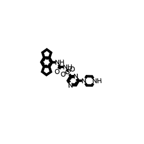 O=C(Nc1c2c(cc3c1CCC3)CCC2)NS(=O)(=O)c1cncc(N2CCNCC2)n1